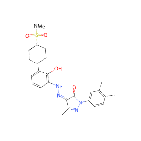 CNS(=O)(=O)C1CCC(c2cccc(NN=C3C(=O)N(c4ccc(C)c(C)c4)N=C3C)c2O)CC1